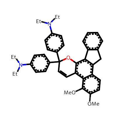 CCN(CC)c1ccc(C2(c3ccc(N(CC)CC)cc3)C=Cc3c(c4c(c5ccc(OC)c(OC)c35)Cc3ccccc3-4)O2)cc1